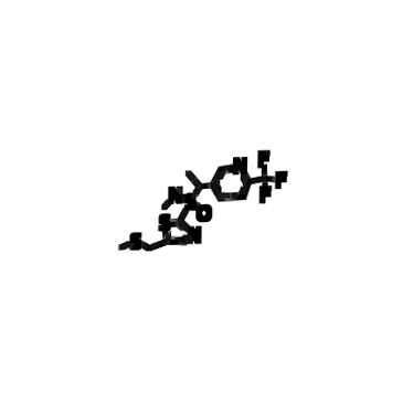 CN=S(=O)(c1ncc(CSC)s1)C(C)c1ccc(C(F)(F)F)nc1